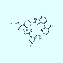 CC(C)(C)OC(=O)N1CCC(c2cc3c(-c4nc(NC[C@H]5C[C@@H](F)CN5C(=O)OC(C)(C)C)ccc4Cl)ccnc3[nH]2)CC1